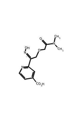 CN(C)C(=O)COC/C(=N\O)c1cc(C(=O)O)ccn1